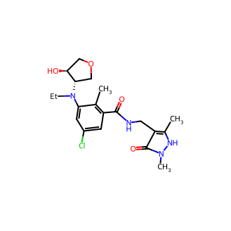 CCN(c1cc(Cl)cc(C(=O)NCc2c(C)[nH]n(C)c2=O)c1C)[C@H]1COC[C@@H]1O